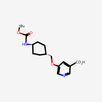 CC(C)(C)OC(=O)N[C@H]1CC[C@H](COc2cncc(C(=O)O)c2)CC1